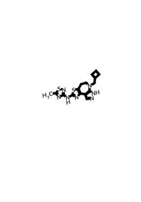 Cc1nc(Nc2nc3c(s2)CCN(CC2CCC2)c2[nH]ncc2-3)ns1